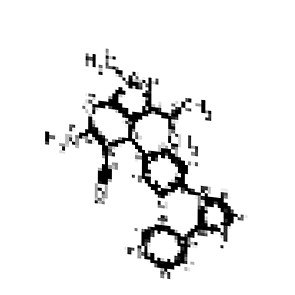 CC(C)c1nn(C)c2c1C(c1ccc(-n3ccnc3-c3ccncc3)cc1)C(C#N)=C(N)O2